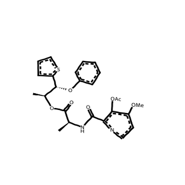 COc1ccnc(C(=O)N[C@@H](C)C(=O)O[C@@H](C)[C@@H](Oc2ccccc2)c2cccs2)c1OC(C)=O